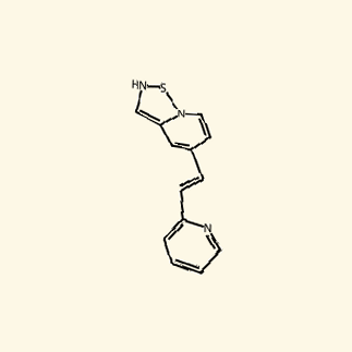 C(=Cc1ccccn1)C1=CC2=CNSN2C=C1